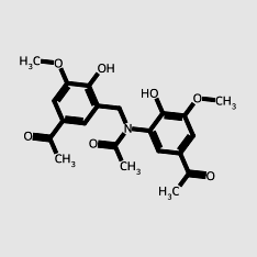 COc1cc(C(C)=O)cc(CN(C(C)=O)c2cc(C(C)=O)cc(OC)c2O)c1O